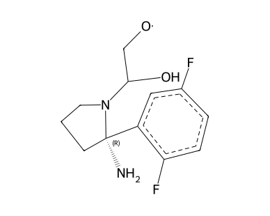 N[C@]1(c2cc(F)ccc2F)CCCN1C(O)C[O]